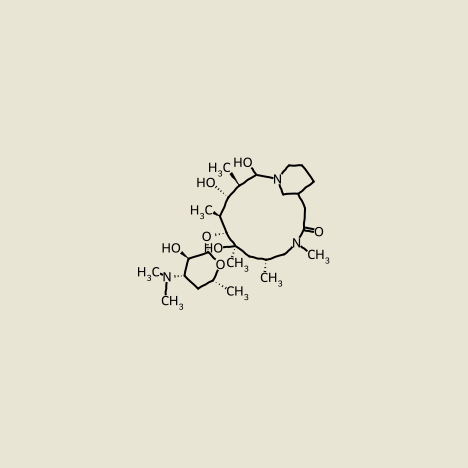 C[C@H]1CN(C)C(=O)CC2CCCN(C2)C(O)[C@H](C)[C@@H](O)[C@H](C)[C@@H](O[C@@H]2O[C@H](C)C[C@H](N(C)C)[C@H]2O)[C@](C)(O)C1